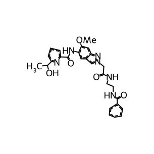 COc1cc2nn(CC(=O)NCCNC(=O)c3ccccc3)cc2cc1NC(=O)c1cccc(C(C)O)n1